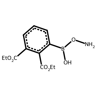 CCOC(=O)c1cccc(B(O)ON)c1C(=O)OCC